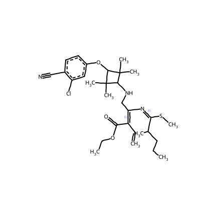 C=C/C(C(=O)OCC)=C(CNC1C(C)(C)C(Oc2ccc(C#N)c(Cl)c2)C1(C)C)\N=C(\SC)C(C)CCC